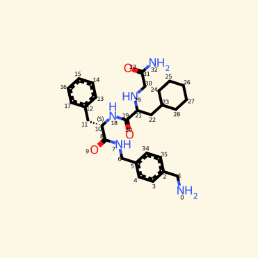 NCc1ccc(CNC(=O)[C@H](Cc2ccccc2)NC(=O)C(CC2CCCCC2)NCC(N)=O)cc1